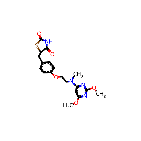 COc1cc(N(C)CCOc2ccc(CC3SC(=O)NC3=O)cc2)nc(OC)n1